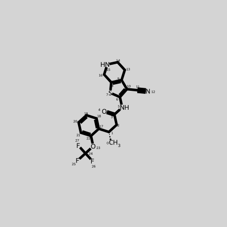 C[C@@H](CC(=O)Nc1sc2c(c1C#N)CCNC2)c1ccccc1OC(F)(F)F